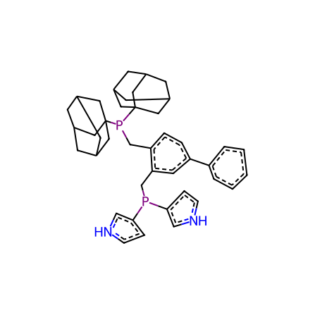 c1ccc(-c2ccc(CP(C34CC5CC(CC(C5)C3)C4)C34CC5CC(CC(C5)C3)C4)c(CP(c3cc[nH]c3)c3cc[nH]c3)c2)cc1